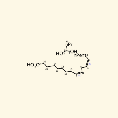 CCCC(O)O.CCCCC/C=C\C/C=C\CCCCCCCC(=O)O